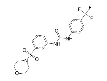 O=C(Nc1ccc(C(F)(F)F)cc1)Nc1cccc(S(=O)(=O)N2CCOCC2)c1